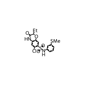 CCC1Oc2cc(S(=O)(=O)Nc3cccc(SC)c3)c(Cl)cc2NC1=O